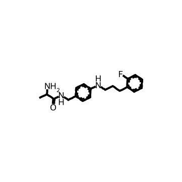 CC(N)C(=O)NCc1ccc(NCCCc2ccccc2F)cc1